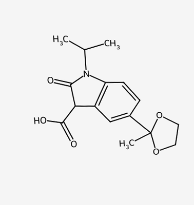 CC(C)N1C(=O)C(C(=O)O)c2cc(C3(C)OCCO3)ccc21